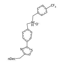 CCCCCCCCCCCc1csc(-c2ccc(C[NH+]([O-])Cc3ccc(C(F)(F)F)cc3)cc2)n1